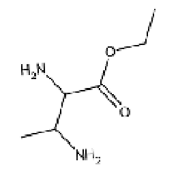 CCOC(=O)C(N)C(C)N